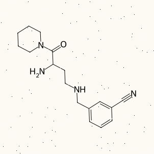 N#Cc1cccc(CNCCC(N)C(=O)N2CCCCC2)c1